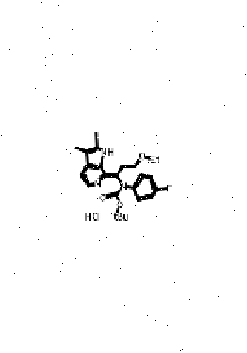 CCOCCC(c1nccc2c(C)c(C)[nH]c12)N(C(=O)OC(C)(C)C)c1ccc(F)cc1.Cl